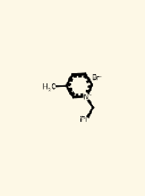 Cc1ccc[n+](CC(C)C)c1.[Br-]